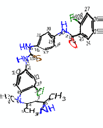 CC(=N)CC(C)N(C)c1ccc(NC(=S)Nc2ccc(NC(=O)c3ccccc3F)cc2)cc1Cl